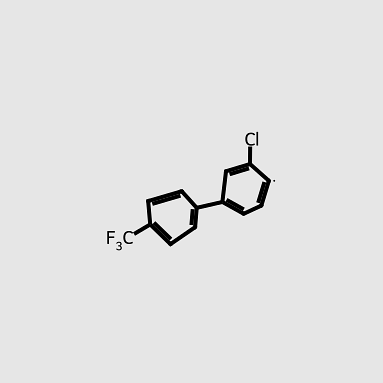 FC(F)(F)c1ccc(-c2cc[c]c(Cl)c2)cc1